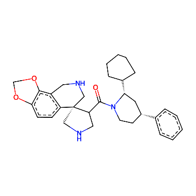 O=C(C1CNC[C@]12CNCc1c2ccc2c1OCO2)N1CC[C@@H](c2ccccc2)C[C@H]1C1CCCCC1